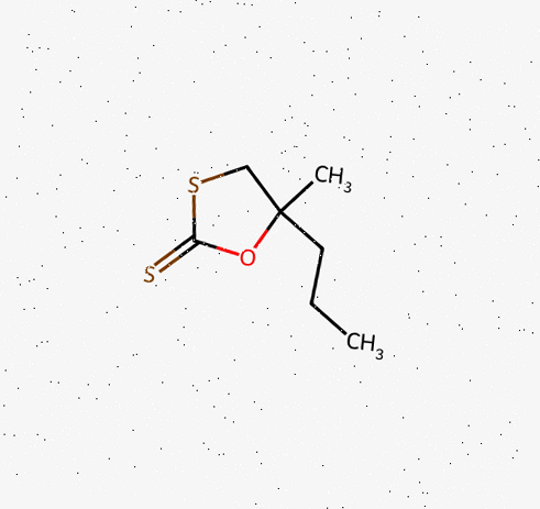 CCCC1(C)CSC(=S)O1